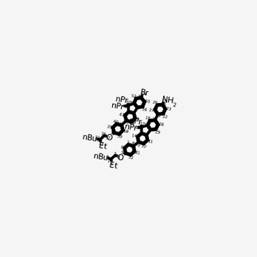 CCCCC(CC)COc1ccc(-c2ccc3c(c2)C(CCC)(CCC)c2cc(-c4ccc(N)cc4)ccc2-3)cc1.CCCCC(CC)COc1ccc(-c2ccc3c(c2)C(CCC)(CCC)c2cc(Br)ccc2-3)cc1